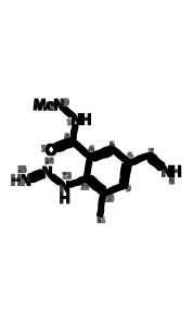 CNNC(=O)c1cc(C=N)cc(C)c1NN=N